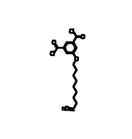 CCCCCCCCCCCCCCCCCCOc1cc(C(=O)Cl)cc(C(=O)Cl)c1